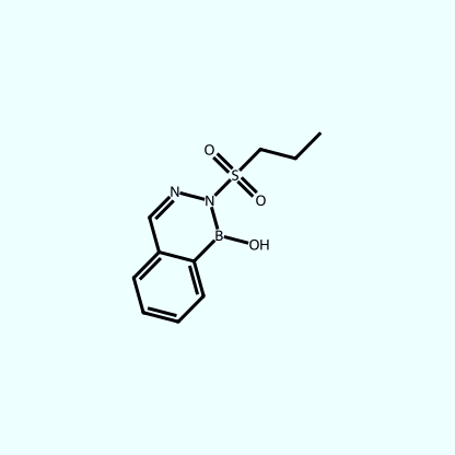 CCCS(=O)(=O)N1N=Cc2ccccc2B1O